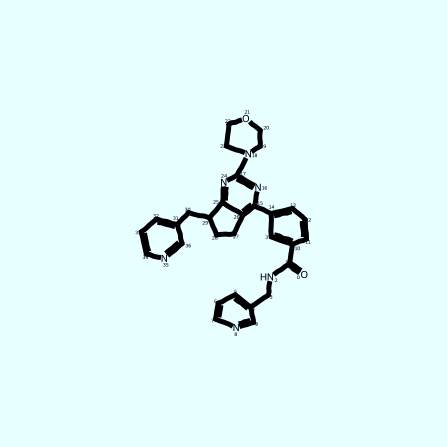 O=C(NCc1cccnc1)c1cccc(-c2nc(N3CCOCC3)nc3c2CCC3Cc2cccnc2)c1